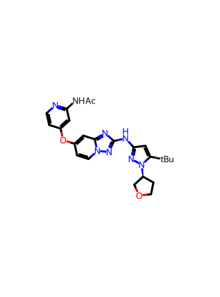 CC(=O)Nc1cc(Oc2ccn3nc(Nc4cc(C(C)(C)C)n([C@H]5CCOC5)n4)nc3c2)ccn1